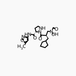 Cc1cc(NC(=O)[C@@H]2CCNN2C(=O)[C@H](CC2CCCC2)CN(O)C=O)no1